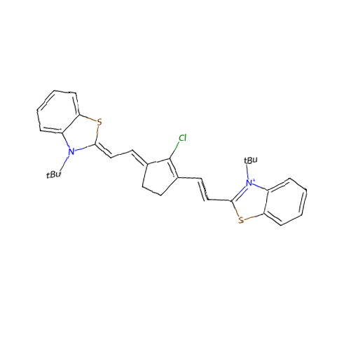 CC(C)(C)N1/C(=C/C=C2\CCC(/C=C/c3sc4ccccc4[n+]3C(C)(C)C)=C2Cl)Sc2ccccc21